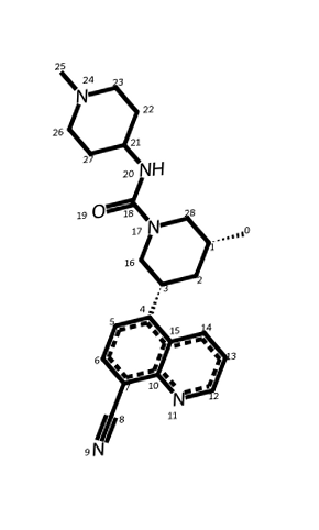 C[C@@H]1C[C@H](c2ccc(C#N)c3ncccc23)CN(C(=O)NC2CCN(C)CC2)C1